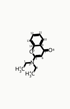 CCN(CC)c1cc(=O)c2ccccc2o1